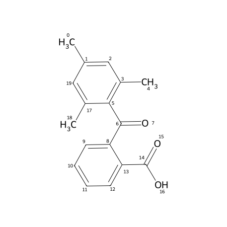 Cc1cc(C)c(C(=O)c2ccccc2C(=O)O)c(C)c1